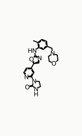 Cc1ccc(CN2CCOCC2)cc1Nc1ncc(-c2ccnc(N3CCNC3=O)c2)o1